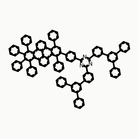 c1ccc(-c2cc(-c3ccccc3)cc(-c3cccc(-c4nc(-c5ccc(-c6cc(-c7ccccc7)c7c8cccc9c%10c(-c%11ccccc%11)c(-c%11ccccc%11)c(-c%11ccccc%11)c(-c%11ccccc%11)c%10c%10cccc(c7c6-c6ccccc6)c%10c89)cc5)nc(-c5cccc(-c6cc(-c7ccccc7)cc(-c7ccccc7)c6)c5)n4)c3)c2)cc1